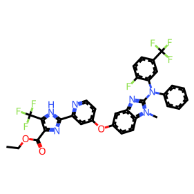 CCOC(=O)c1nc(-c2cc(Oc3ccc4c(c3)nc(N(c3ccccc3)c3cc(C(F)(F)F)ccc3F)n4C)ccn2)[nH]c1C(F)(F)F